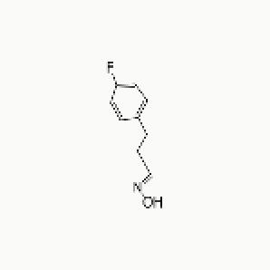 ON=CCCc1ccc(F)cc1